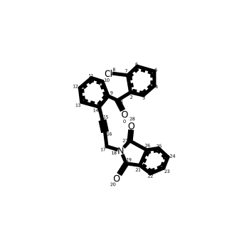 O=C(c1ccccc1Cl)c1ccccc1C#CCN1C(=O)c2ccccc2C1=O